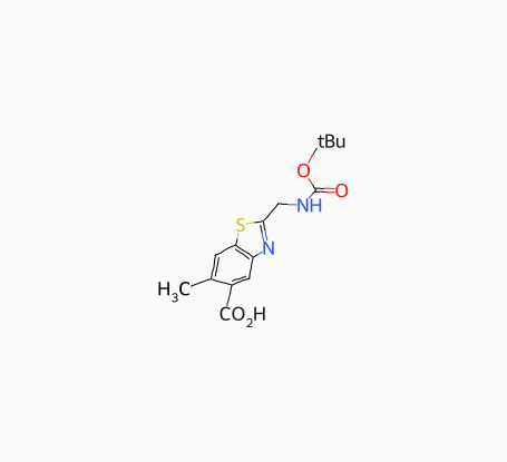 Cc1cc2sc(CNC(=O)OC(C)(C)C)nc2cc1C(=O)O